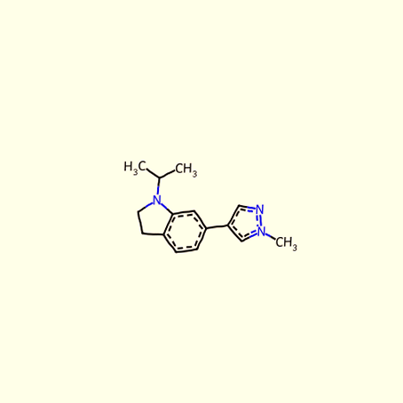 CC(C)N1CCc2ccc(-c3cnn(C)c3)cc21